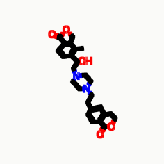 Cc1c([C@@H](O)CN2CCN(CCc3ccc4c(c3)CCOC4=O)CC2)ccc2c1COC2=O